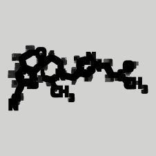 C[C@H]1C[C@@]2(CCN1Cc1cnn(CC[S+](C)[O-])c1)OCCc1cc(C#N)sc12